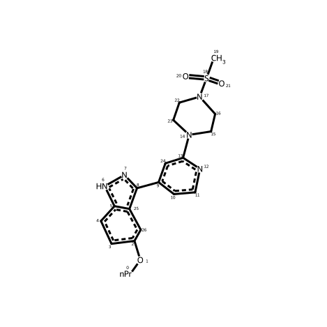 CCCOc1ccc2[nH]nc(-c3ccnc(N4CCN(S(C)(=O)=O)CC4)c3)c2c1